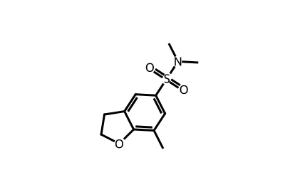 Cc1cc(S(=O)(=O)N(C)C)cc2c1OCC2